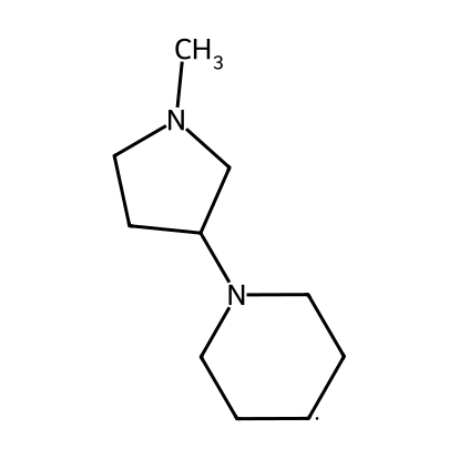 CN1CCC(N2CC[CH]CC2)C1